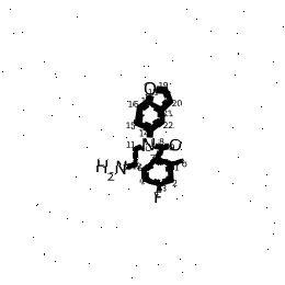 Cc1cc(F)ccc1C(=O)N(CCN)c1ccc2occc2c1